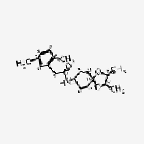 Cc1ccc(C)c(CC(=O)NC2CCC3(CC2)OC(C)C(C)O3)c1